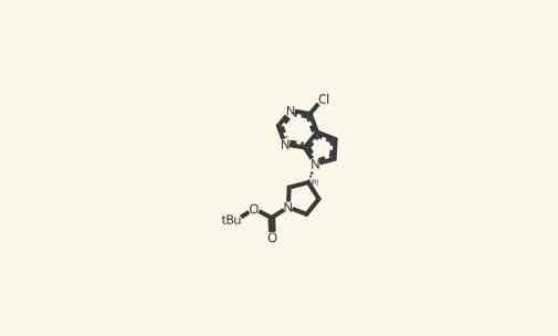 CC(C)(C)OC(=O)N1CC[C@@H](n2ccc3c(Cl)ncnc32)C1